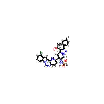 CNC(=O)c1c(-c2ccc(C)cc2)nn2cc(N(C)S(C)(=O)=O)c(-c3ccc4ncn5c6cccc(F)c6cc5c4n3)cc12